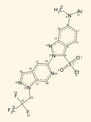 CCS(=O)(=O)c1c2ccc(N(C)C(C)=O)cc2nn1-c1cc2cnn(CC(F)(F)C(F)(F)F)c2cn1